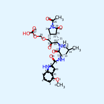 COc1cccc2[nH]c(C(=O)N[C@@H](CC(C)C)C(=O)N[C@@H](C[C@@H]3CCN(C(C)=O)C3=O)C(=O)COCOC(=O)O)cc12